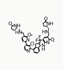 COc1nc(-c2ccnc(-c3cccc4c3CC[C@@H]4Nc3nc(OC)c(CNC[C@H]4CCC(=O)N4)cc3C(F)(F)F)c2Cl)ccc1CNC[C@@H]1CCC(=O)N1